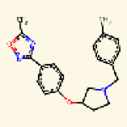 Cc1ccc(CN2CCC(Oc3ccc(-c4noc(C(F)(F)F)n4)cc3)C2)cc1